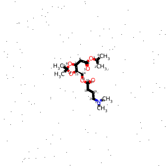 CC(C)OC(=O)CC1OC(C)(C)O[C@@H]1COC(=O)CCCN(C)C